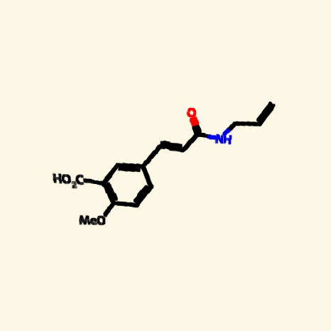 C=CCNC(=O)/C=C/c1ccc(OC)c(C(=O)O)c1